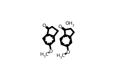 COc1ccc2c(c1)CCC2=O.COc1ccc2c(c1)CCC2=O.O